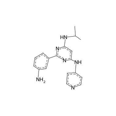 CC(C)Nc1cc(Nc2ccncc2)nc(-c2cccc(N)c2)n1